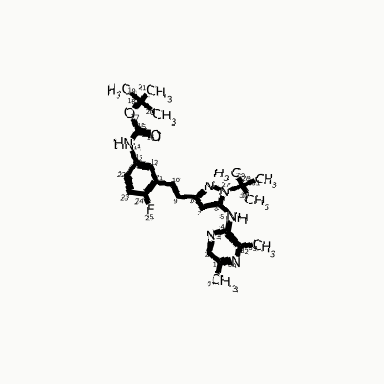 Cc1cnc(Nc2cc(CCc3cc(NC(=O)OC(C)(C)C)ccc3F)nn2C(C)(C)C)c(C)n1